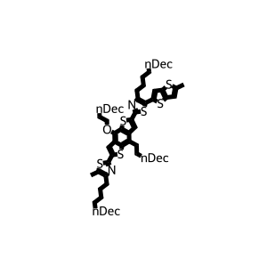 CCCCCCCCCCCCCCc1nc(-c2cc3c(OCCCCCCCCCCCC)c4sc(-c5nc(CCCCCCCCCCCCCC)c(-c6cc7sc(C)cc7s6)s5)cc4c(CCCCCCCCCCCC)c3s2)sc1C